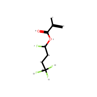 C=C(C)C(=O)OC(F)CCC(F)(F)F